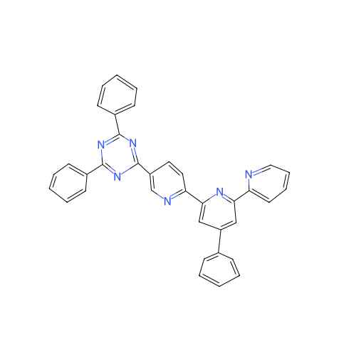 c1ccc(-c2cc(-c3ccccn3)nc(-c3ccc(-c4nc(-c5ccccc5)nc(-c5ccccc5)n4)cn3)c2)cc1